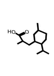 CC1CCC(C(C)C)C(CC(C)C(=O)O)C1